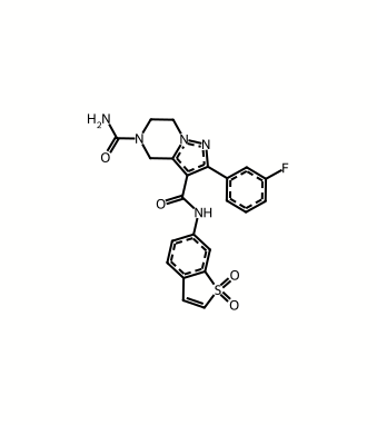 NC(=O)N1CCn2nc(-c3cccc(F)c3)c(C(=O)Nc3ccc4c(c3)S(=O)(=O)C=C4)c2C1